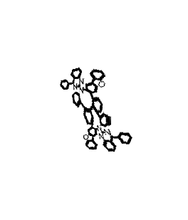 c1ccc(-c2nc(-n3c4ccccc4c4cccc5c6cc7oc8ccccc8c7cc6n(-c6nc(-c7ccccc7)c7ccccc7n6)c6ccccc6c6cccc(c7cc8oc9ccccc9c8cc73)c6c45)nc3ccccc23)cc1